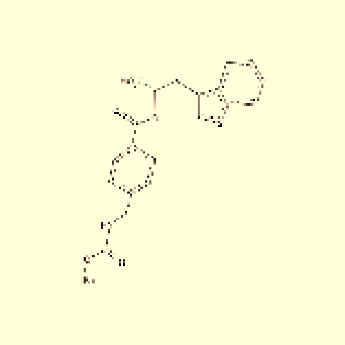 CC(C)(C)OC(=O)NCc1ccc(C(=O)N[C@@H](Cc2csc3ccccc23)C(=O)O)cc1